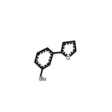 CC(C)(C)c1cccc(-c2ccco2)c1